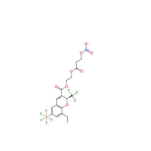 CCc1cc(S(F)(F)(F)(F)F)cc2c1O[C@H](C(F)(F)F)C(C(=O)OCCOC(=O)CCO[N+](=O)[O-])=C2